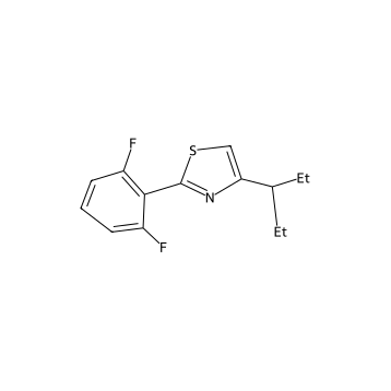 CCC(CC)c1csc(-c2c(F)cccc2F)n1